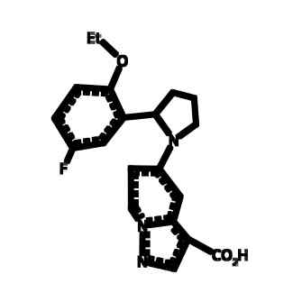 CCOc1ccc(F)cc1C1CCCN1c1ccn2ncc(C(=O)O)c2c1